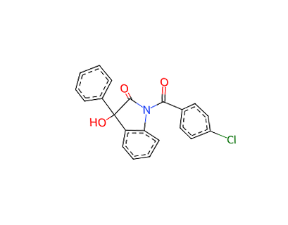 O=C(c1ccc(Cl)cc1)N1C(=O)C(O)(c2ccccc2)c2ccccc21